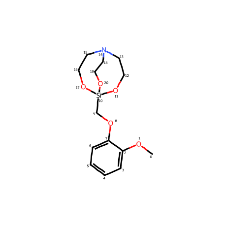 COc1ccccc1OC[Si]12OCCN(CCO1)CCO2